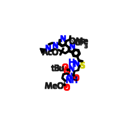 COC(=O)[C@@H]1CCCN(C(=O)[C@H](Cc2nc(-c3ccc4c(c3)c(CC(C)(C)COC(C)=O)c(-c3cc(N5CCN(C6CC6)CC5)cnc3[C@H](C)OC)n4CC(F)(F)F)cs2)NC(=O)OC(C)(C)C)N1